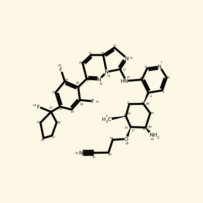 C[C@H]1C[C@@H](c2ccncc2Nc2ncc3ccc(-c4c(F)cc(C5(F)CCCC5)cc4F)nn23)C[C@@H](N)[C@H]1OCCC#N